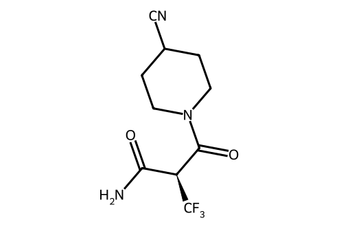 N#CC1CCN(C(=O)[C@H](C(N)=O)C(F)(F)F)CC1